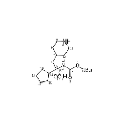 CC(C)(C)OC(=O)N[C@@](CC1CCNCC1)(C(=O)O)C1CCCC1